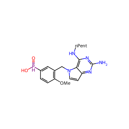 CCCCCNc1nc(N)nc2ccn(Cc3cc([PH](=O)O)ccc3OC)c12